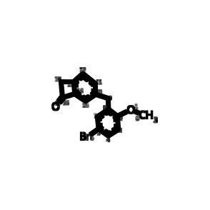 COc1ccc(Br)cc1Cc1ccc2c(c1)C(=O)C2